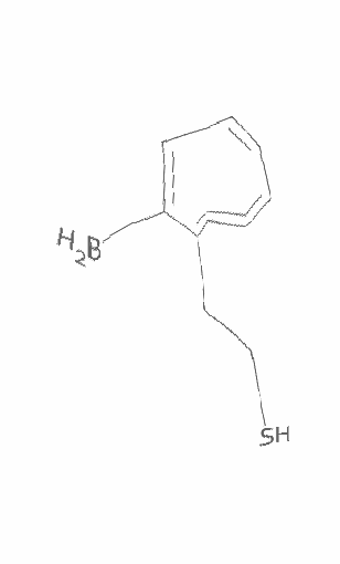 Bc1ccccc1CCS